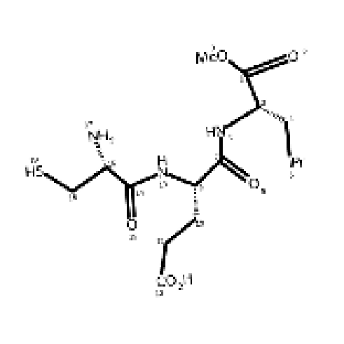 COC(=O)[C@H](CC(C)C)NC(=O)[C@H](CCC(=O)O)NC(=O)[C@@H](N)CS